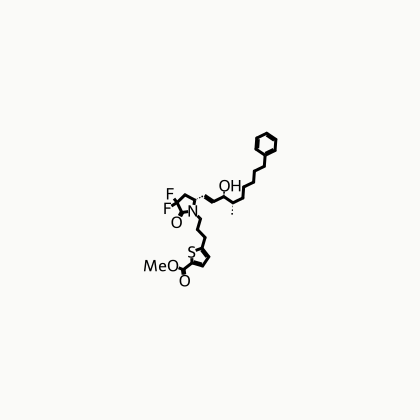 COC(=O)c1ccc(CCCN2C(=O)C(F)(F)C[C@@H]2/C=C/[C@H](O)[C@@H](C)CCCCCc2ccccc2)s1